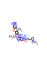 COc1cc(Oc2ccn3ncnc3c2)c(C)cc1Nc1ncnc2cnc(NC(=O)C(F)=CC3CCCN3C)nc12